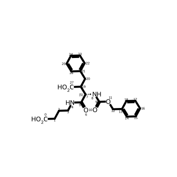 O=C(O)CCCNC(=O)[C@@H](NC(=O)OCc1ccccc1)C(Cc1ccccc1)C(=O)O